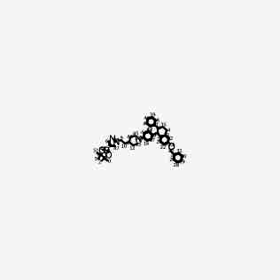 CC1(C)OB(c2cnn(CCC3CCN(c4ccc(C5c6ccc(OCc7ccccc7)cc6CCC5c5ccccc5)cc4)CC3)c2)OC1(C)C